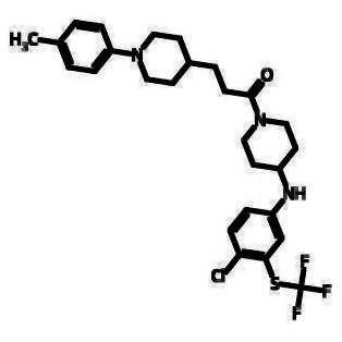 Cc1ccc(N2CCC(CCC(=O)N3CCC(Nc4ccc(Cl)c(SC(F)(F)F)c4)CC3)CC2)cc1